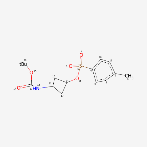 Cc1ccc(S(=O)(=O)OC2CC(NC(=O)OC(C)(C)C)C2)cc1